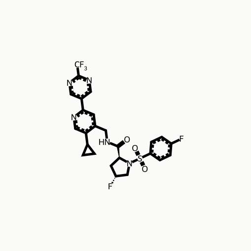 O=C(NCc1cc(-c2cnc(C(F)(F)F)nc2)ncc1C1CC1)[C@@H]1C[C@@H](F)CN1S(=O)(=O)c1ccc(F)cc1